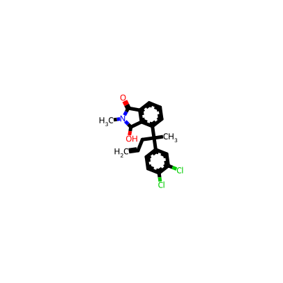 C=CCC(C)(c1ccc(Cl)c(Cl)c1)c1cccc2c1C(O)N(C)C2=O